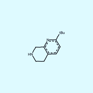 CC(C)(C)c1ccc2c(n1)CNCC2